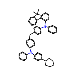 CC1(C)c2ccccc2-c2c(N(c3ccccc3)c3ccc(Cc4ccc(N(c5ccccc5)c5ccc(C6CCCCC6)cc5)cc4)cc3)cccc21